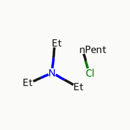 CCCCCCl.CCN(CC)CC